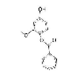 COc1cc(O)ccc1OC(=O)c1ccccc1